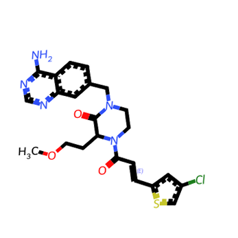 COCCC1C(=O)N(Cc2ccc3c(N)ncnc3c2)CCN1C(=O)/C=C/c1cc(Cl)cs1